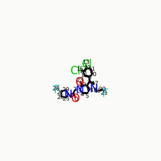 O=C(Cn1ccc2c(c(-c3ccc(Cl)c(Cl)c3)cn2CCF)c1=O)N1CCC(F)C1